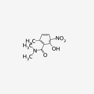 Cc1ccc([N+](=O)[O-])c(O)c1C(=O)N(C)C